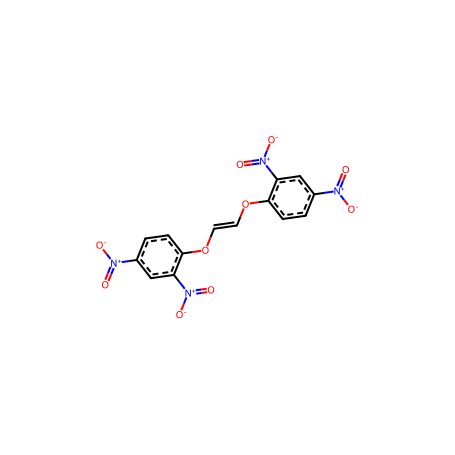 O=[N+]([O-])c1ccc(OC=COc2ccc([N+](=O)[O-])cc2[N+](=O)[O-])c([N+](=O)[O-])c1